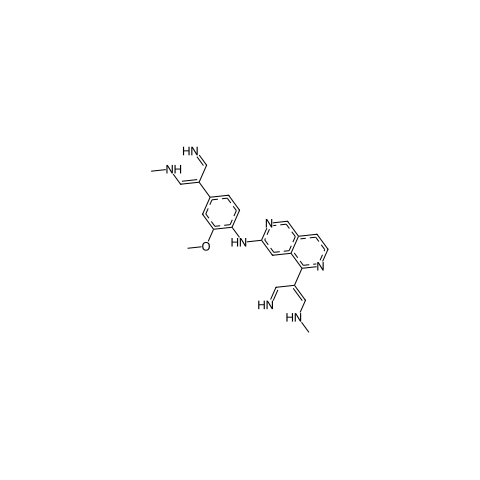 CN/C=C(\C=N)c1ccc(Nc2cc3c(/C(C=N)=C/NC)nccc3cn2)c(OC)c1